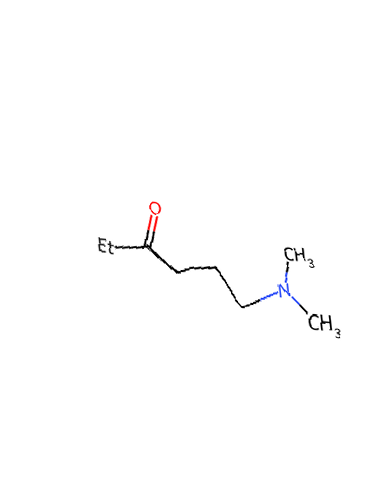 CCC(=O)CCCN(C)C